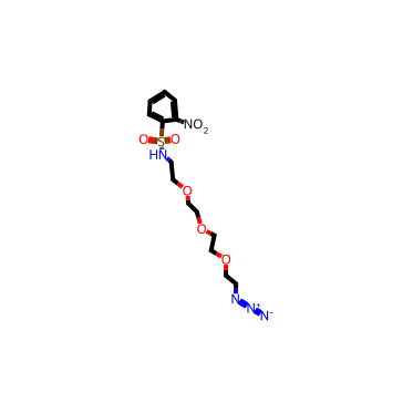 [N-]=[N+]=NCCOCCOCCOCCNS(=O)(=O)c1ccccc1[N+](=O)[O-]